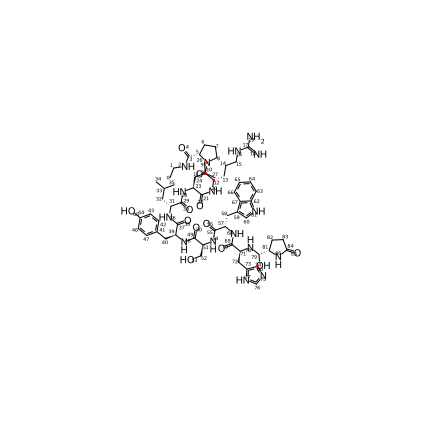 CCNC(=O)[C@@H]1CCCN1C(=O)[C@H](CCCNC(=N)N)NC(=O)[C@H](CC(C)C)NC(=O)[C@@H](CC(C)C)NC(=O)[C@H](Cc1ccc(O)cc1)NC(=O)[C@H](CO)NC(=O)[C@H](Cc1c[nH]c2ccccc12)NC(=O)[C@H](Cc1cnc[nH]1)NC(O)[C@@H]1CCC(=O)N1